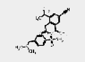 CC(C)c1cc(C#N)cc(C(C)C)c1CC(=O)N=S(N)(=O)c1ccc(CN(C)C)cc1